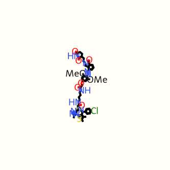 COc1cc(OCC(=O)NCCCCNC(=O)C[C@@H]2N=C(c3ccc(Cl)cc3)c3c(sc(C)c3C)-n3c(C)nnc32)cc(OC)c1/N=N/c1cccc2c1CN(CCC1CCC(=O)NC1=O)C2=O